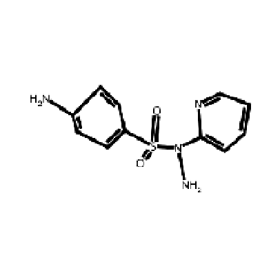 Nc1ccc(S(=O)(=O)N(N)c2ccccn2)cc1